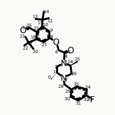 C[C@@H]1CN(C(=O)COc2cc(C(C)(C)C)c(C=O)c(C(C)(C)C)c2)[C@@H](C)CN1Cc1ccc(F)cc1